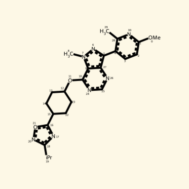 COc1ccc(-c2nn(C)c3c(OC4CCC(c5nc(C(C)C)no5)CC4)ncnc23)c(C)n1